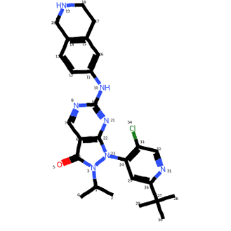 CC(C)n1c(=O)c2cnc(Nc3ccc4c(c3)CCNC4)nc2n1-c1cc(C(C)(C)C)ncc1Cl